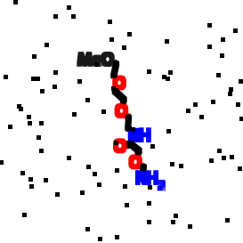 COCCOCCOCCNC(=O)COCN